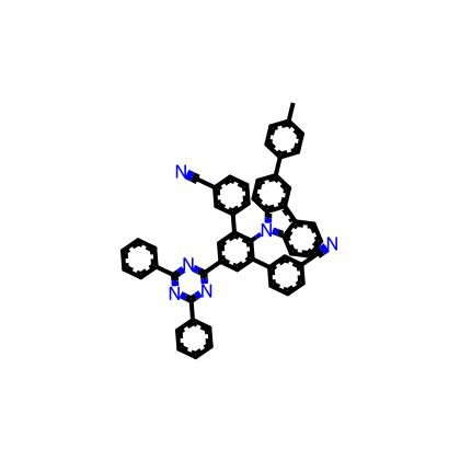 Cc1ccc(-c2ccc3c(c2)c2ccccc2n3-c2c(-c3cccc(C#N)c3)cc(-c3nc(-c4ccccc4)nc(-c4ccccc4)n3)cc2-c2cccc(C#N)c2)cc1